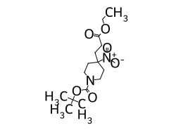 CCOC(=O)CCC1([N+](=O)[O-])CCN(C(=O)OC(C)(C)C)CC1